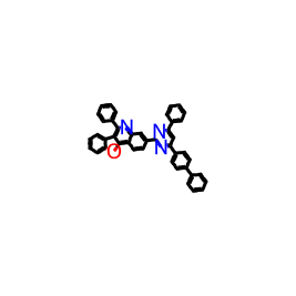 c1ccc(-c2ccc(-c3cc(-c4ccccc4)nc(-c4ccc5c(c4)nc(-c4ccccc4)c4c6ccccc6oc54)n3)cc2)cc1